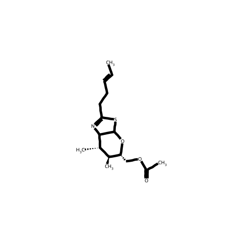 CC=CCCC1=NC2C(O[C@H](COC(C)=O)[C@@H](C)[C@@H]2C)S1